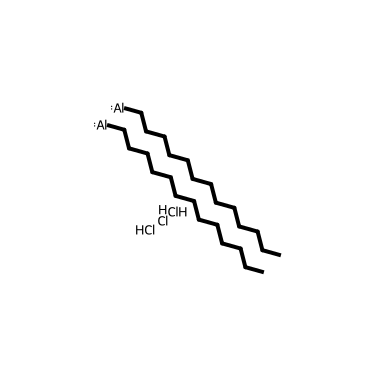 CCCCCCCCCCCC[CH2][Al].CCCCCCCCCCCC[CH2][Al].Cl.Cl.Cl